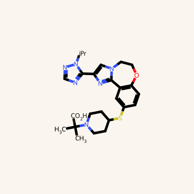 CC(C)n1ncnc1-c1cn2c(n1)-c1cc(SC3CCN(C(C)(C)C(=O)O)CC3)ccc1OCC2